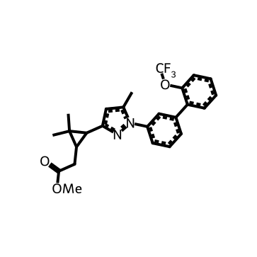 COC(=O)CC1C(c2cc(C)n(-c3cccc(-c4ccccc4OC(F)(F)F)c3)n2)C1(C)C